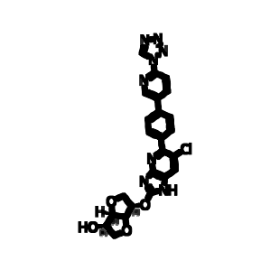 O[C@@H]1COC2[C@H](Oc3nc4nc(-c5ccc(-c6ccc(-n7cnnn7)nc6)cc5)c(Cl)cc4[nH]3)CO[C@@H]21